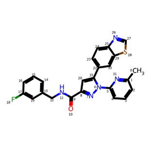 Cc1cccc(-n2nc(C(=O)NCc3cccc(F)c3)cc2-c2ccc3ncsc3c2)n1